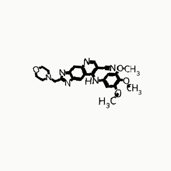 COc1cc(Nc2c(C#N)cnc3c2C=C2N=C(CN4CCOCC4)N=C2C3)cc(OC)c1OC